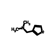 CN(C)CC1=C[N]C=C1